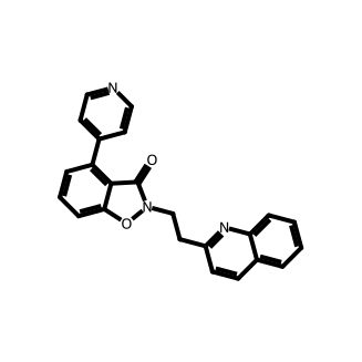 O=c1c2c(-c3ccncc3)cccc2on1CCc1ccc2ccccc2n1